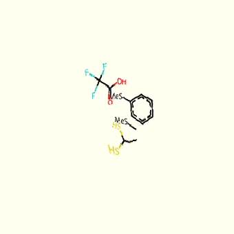 CC(S)S.CSC.CSc1ccccc1.O=C(O)C(F)(F)F